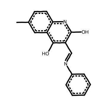 Cc1ccc2nc(O)c(C=Nc3ccccc3)c(O)c2c1